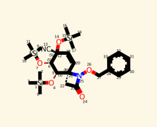 C[Si](C)(C)O[C@@H]1[C@H](O[Si](C)(C)C)[C@](C#N)(O[Si](C)(C)C)C=C[C@]12CC(=O)N2OCc1ccccc1